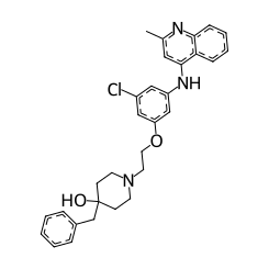 Cc1cc(Nc2cc(Cl)cc(OCCN3CCC(O)(Cc4ccccc4)CC3)c2)c2ccccc2n1